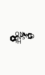 O=C(Nc1ncc(N2CCOCC2)s1)c1ccccc1F